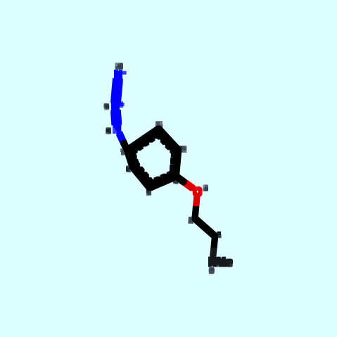 CNCCOc1ccc(N=[N+]=[N-])cc1